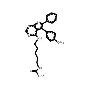 COc1ccc(-c2c(-c3ccccc3)oc3ncnc(NCCCCCNC(=O)OC(C)=O)c23)cc1